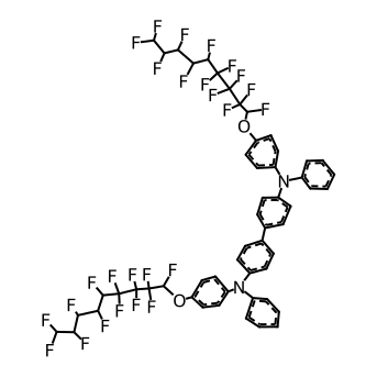 FC(F)C(F)C(F)C(F)C(F)C(F)(F)C(F)(F)C(F)(F)C(F)Oc1ccc(N(c2ccccc2)c2ccc(-c3ccc(N(c4ccccc4)c4ccc(OC(F)C(F)(F)C(F)(F)C(F)(F)C(F)C(F)C(F)C(F)C(F)F)cc4)cc3)cc2)cc1